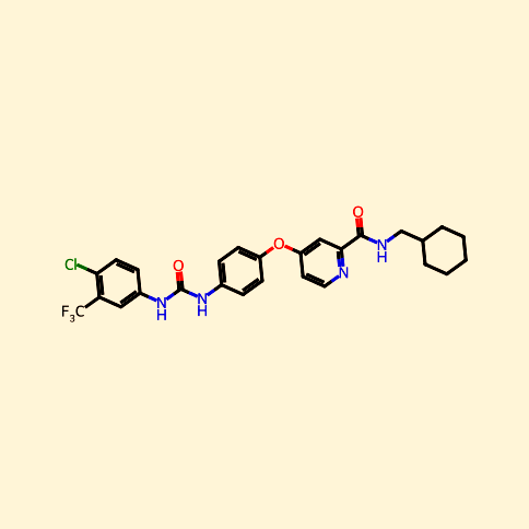 O=C(Nc1ccc(Oc2ccnc(C(=O)NCC3CCCCC3)c2)cc1)Nc1ccc(Cl)c(C(F)(F)F)c1